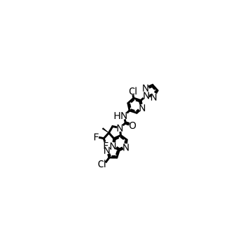 C[C@@]1(C(F)F)CN(C(=O)Nc2cnc(-n3nccn3)c(Cl)c2)c2cnc3cc(Cl)nn3c21